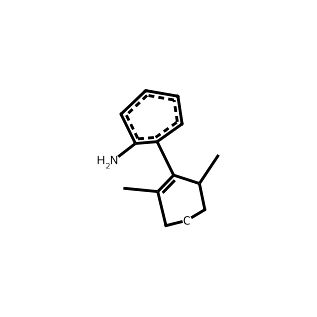 CC1=C(c2ccccc2N)C(C)CCC1